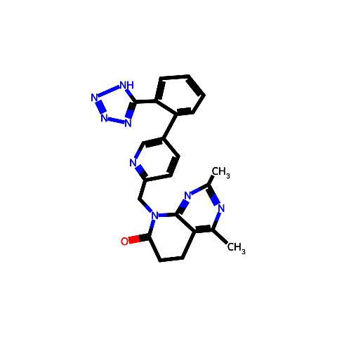 Cc1nc(C)c2c(n1)N(Cc1ccc(-c3ccccc3-c3nnn[nH]3)cn1)C(=O)CC2